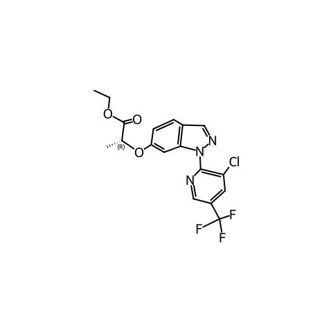 CCOC(=O)[C@@H](C)Oc1ccc2cnn(-c3ncc(C(F)(F)F)cc3Cl)c2c1